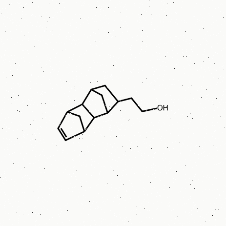 OCCC1CC2CC1C1C3C=CC(C3)C21